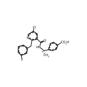 C[C@H](NC(=O)c1cc(Cl)cnc1Cc1cccc(F)c1)c1ccc(C(=O)O)cc1